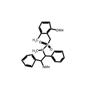 CNC(c1ccccc1)C(c1ccccc1)N(C)S(=O)(=O)Cc1c(C)cccc1OC